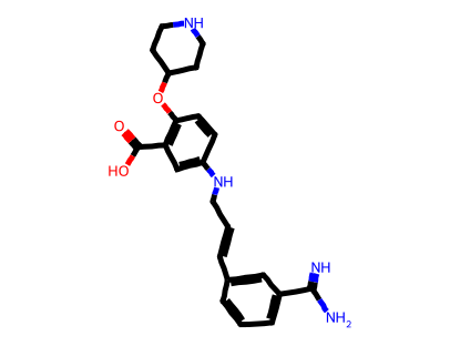 N=C(N)c1cccc(C=CCNc2ccc(OC3CCNCC3)c(C(=O)O)c2)c1